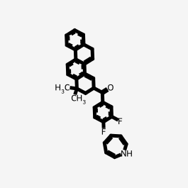 C1=CC=CNC=C1.CC1(C)CC(C(=O)c2ccc(F)c(F)c2)C=c2c1ccc1c2=CCc2ccccc2-1